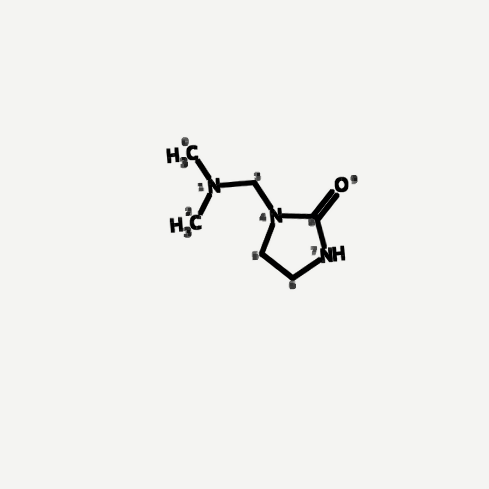 CN(C)CN1CCNC1=O